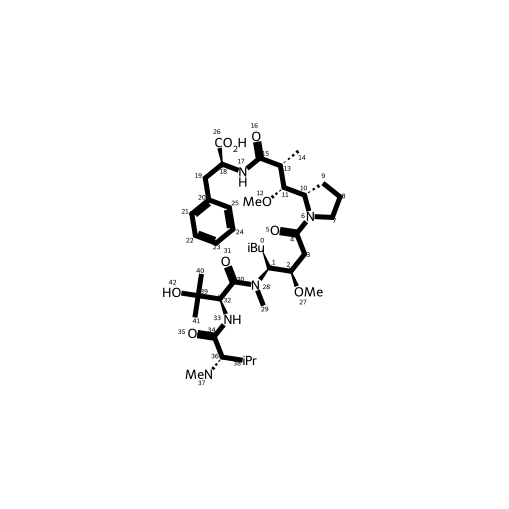 CC[C@H](C)[C@@H]([C@@H](CC(=O)N1CCC[C@H]1[C@H](OC)[C@@H](C)C(=O)N[C@@H](Cc1ccccc1)C(=O)O)OC)N(C)C(=O)[C@@H](NC(=O)[C@@H](NC)C(C)C)C(C)(C)O